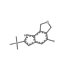 C[Si](C)(C)c1cc2cc(I)c3c(c2[nH]1)COC3